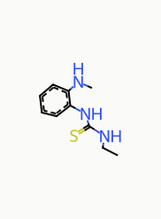 CCNC(=S)Nc1ccccc1NC